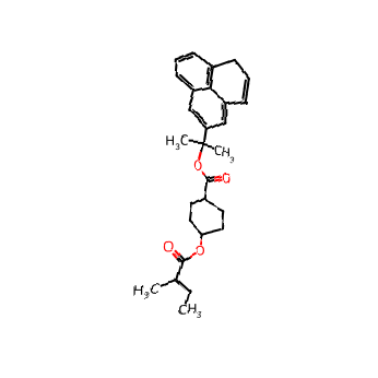 CCC(C)C(=O)OC1CCC(C(=O)OC(C)(C)c2cc3c4c(cccc4c2)CC=C3)CC1